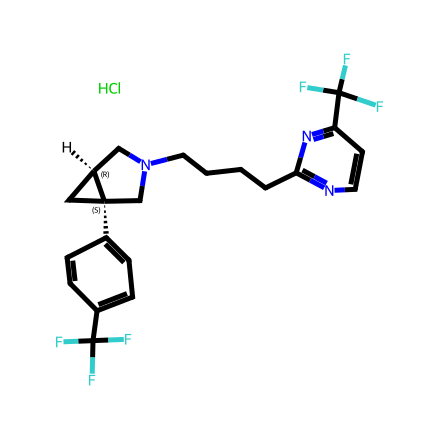 Cl.FC(F)(F)c1ccc([C@]23C[C@H]2CN(CCCCc2nccc(C(F)(F)F)n2)C3)cc1